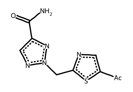 CC(=O)c1cnc(Cn2ncc(C(N)=O)n2)s1